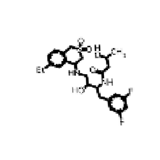 CCc1ccc2c(c1)C(NCC(O)C(Cc1cc(F)cc(F)c1)NC(=O)CC(C)O)CS(=O)(=O)C2